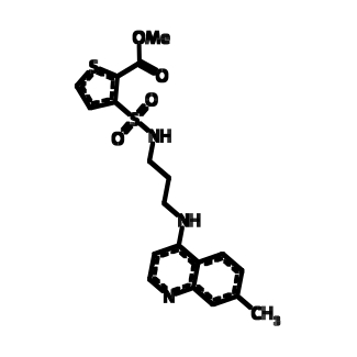 COC(=O)c1sccc1S(=O)(=O)NCCCNc1ccnc2cc(C)ccc12